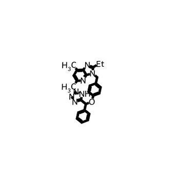 CCc1nc2c(C)cc(C)nc2n1Cc1ccc(OC(c2ccccc2)c2nnn[nH]2)cc1